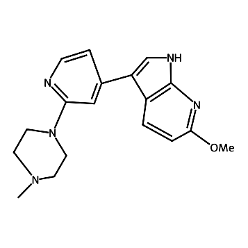 COc1ccc2c(-c3ccnc(N4CCN(C)CC4)c3)c[nH]c2n1